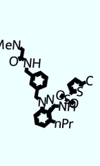 CCCc1cccc2c1c(NS(=O)(=O)c1ccc(Cl)s1)nn2Cc1cccc(CNC(=O)CNC)c1